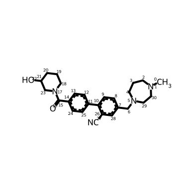 CN1CCCN(Cc2ccc(-c3ccc(C(=O)N4CCCC(O)C4)cc3)c(C#N)c2)CC1